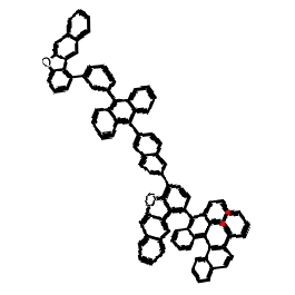 c1ccc(-c2ccc3ccccc3c2-c2c3ccccc3c(-c3ccc(-c4ccc5cc(-c6c7ccccc7c(-c7cccc(-c8cccc9oc%10cc%11ccccc%11cc%10c89)c7)c7ccccc67)ccc5c4)c4oc5cc6ccccc6cc5c34)c3ccccc23)cc1